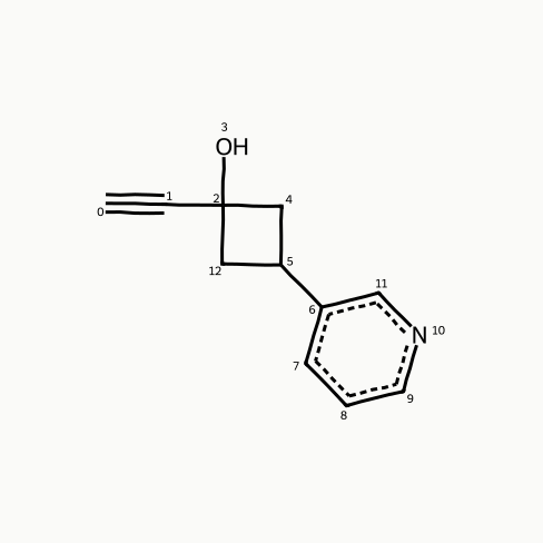 C#CC1(O)CC(c2cccnc2)C1